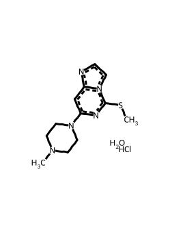 CSc1nc(N2CCN(C)CC2)cc2nccn12.Cl.O